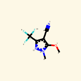 COc1c(C#N)c(C(F)(F)F)nn1C